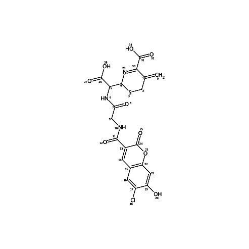 C=C1CSC(C(NC(=O)CNC(=O)c2cc3cc(Cl)c(O)cc3oc2=O)C(=O)O)N=C1C(=O)O